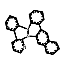 c1ccc2c(c1)B1c3ccccc3-c3cccnc3N1c1cc3ccccc3cc1-2